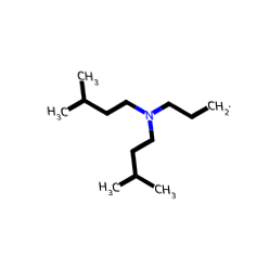 [CH2]CCN(CCC(C)C)CCC(C)C